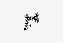 CC(C)(C)OC(=O)NC1CN(C(=O)/C(=C/n2cnc(-c3cc(C(F)(F)F)nc(C(F)(F)F)c3)n2)c2cncnc2)C1